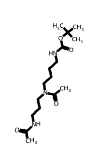 CC(=O)NCCCN(CCCCNC(=O)OC(C)(C)C)C(C)=O